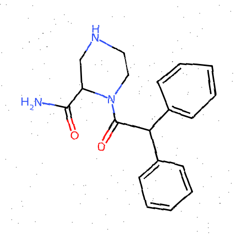 NC(=O)C1CNCCN1C(=O)C(c1ccccc1)c1ccccc1